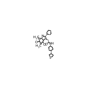 Cn1c(=O)c2c(nc(-c3ccccc3)n2CC(=O)Nc2ccc(-c3ccsc3)cc2)n(C)c1=O